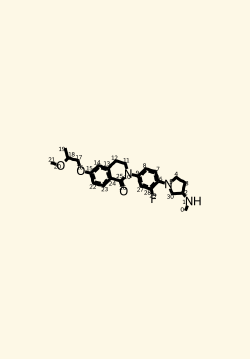 CNC1CCN(c2ccc(N3CCc4cc(OCC(C)OC)ccc4C3=O)cc2F)C1